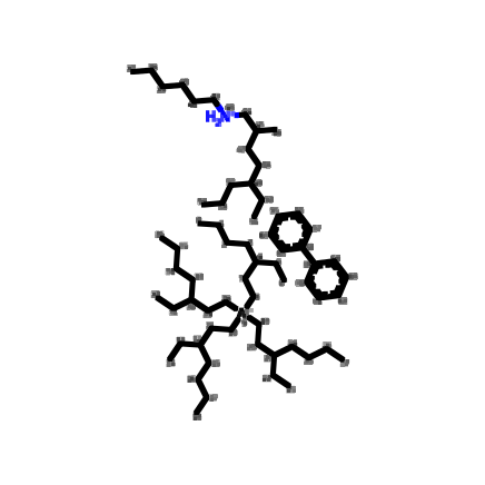 CCCCC(CC)C[CH2][Al-]([CH2]CC(CC)CCCC)([CH2]CC(CC)CCCC)[CH2]CC(CC)CCCC.CCCCCC[NH2+]CC(C)CCC(CC)CCC.c1ccc(-c2ccccc2)cc1